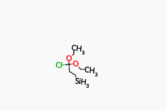 CCOC(Cl)(CC[SiH3])OCC